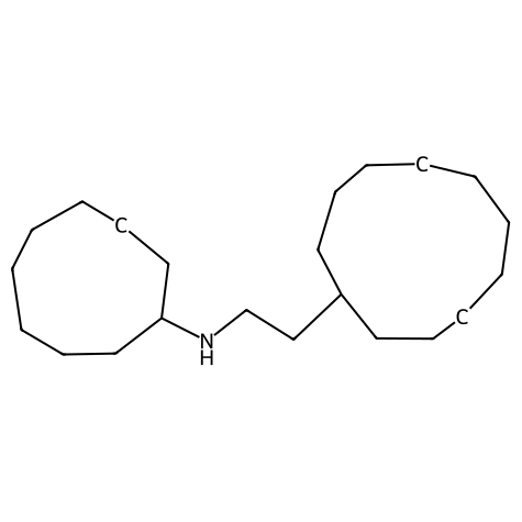 C1CCCCCC(CCNC2CCCCCCCC2)CCCC1